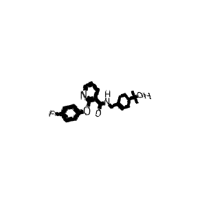 CC(C)(O)C1CC=C(CNC(=O)c2cccnc2Oc2ccc(F)cc2)CC1